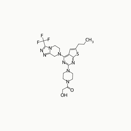 CCCc1cc2c(N3CCn4c(nnc4C(F)(F)F)C3)nc(N3CCN(C(=O)CO)CC3)nc2s1